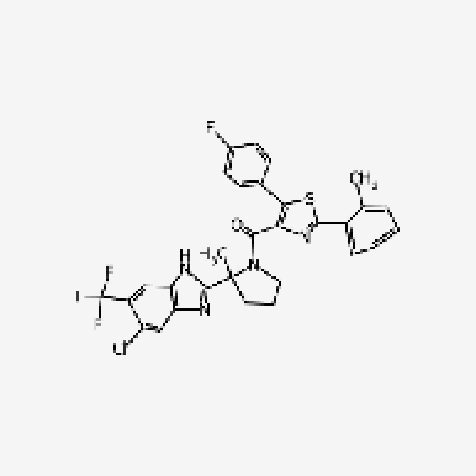 Cc1ccccc1-c1nc(C(=O)N2CCCC2(C)c2nc3cc(Cl)c(C(F)(F)F)cc3[nH]2)c(-c2ccc(F)cc2)s1